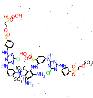 Nc1cc(N)c(N=Nc2cc(Nc3nc(Cl)nc(Nc4cccc(SOOCCS(=O)OOO)c4)n3)ccc2S(=O)(=O)O)c(C(=O)O)c1N=Nc1cc(Nc2nc(Cl)nc(Nc3cccc(S(=O)(=O)CCOS(=O)(=O)O)c3)n2)ccc1SOOO